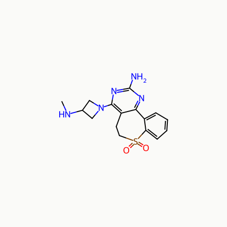 CNC1CN(c2nc(N)nc3c2CCS(=O)(=O)c2ccccc2-3)C1